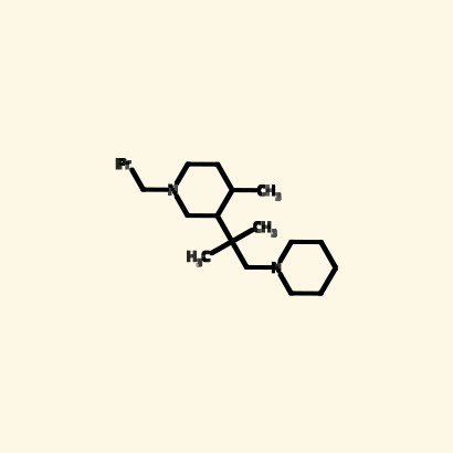 CC(C)CN1CCC(C)C(C(C)(C)CN2CCCCC2)C1